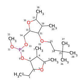 CCC1OC(C)C(C)C1OP(OC)OCC1OC(C)C(C)C1OCCC(C)(C)C